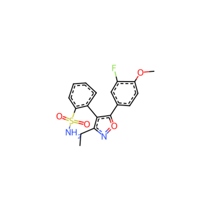 CCc1noc(-c2ccc(OC)c(F)c2)c1-c1ccccc1S(N)(=O)=O